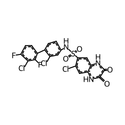 O=c1[nH]c2cc(Cl)c(S(=O)(=O)Nc3ccc(-c4ccc(F)c(Cl)c4F)c(Cl)c3)cc2[nH]c1=O